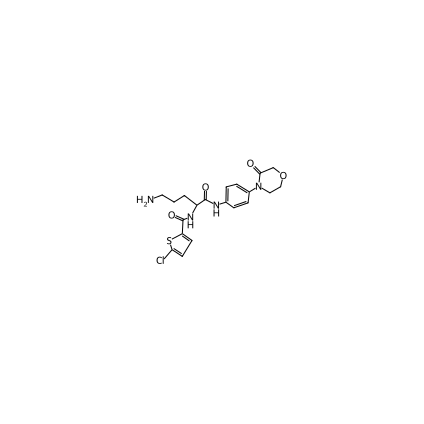 NCCCC(NC(=O)c1ccc(Cl)s1)C(=O)Nc1ccc(N2CCOCC2=O)cc1